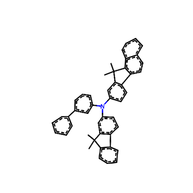 CC1(C)c2ccccc2-c2ccc(N(c3cccc(-c4ccccc4)c3)c3ccc4c(c3)C(C)(C)c3c-4ccc4ccccc34)cc21